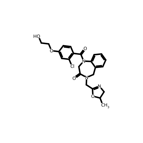 CC1CN=C(CN2Cc3ccccc3N(C(=O)c3ccc(OCCO)cc3Cl)CC2=O)O1